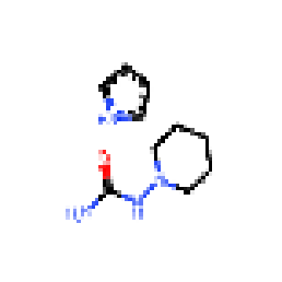 NC(=O)NN1CCCCC1.c1cc[nH]c1